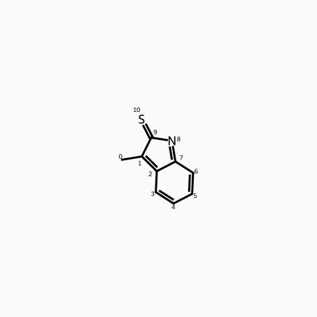 CC1=c2ccccc2=NC1=S